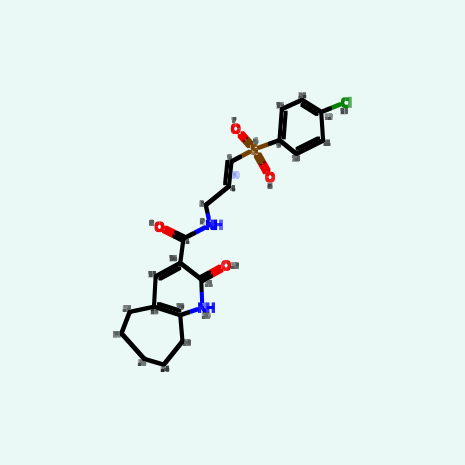 O=C(NC/C=C/S(=O)(=O)c1ccc(Cl)cc1)c1cc2c([nH]c1=O)CCCCC2